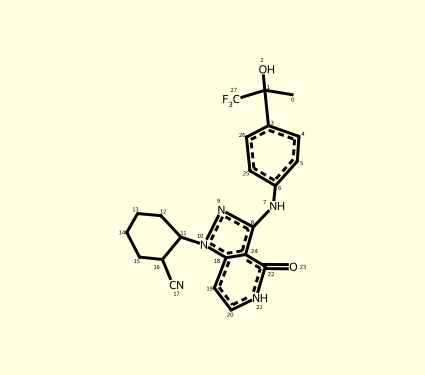 CC(O)(c1ccc(Nc2nn(C3CCCCC3C#N)c3cc[nH]c(=O)c23)cc1)C(F)(F)F